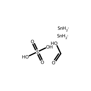 O=CO.O=S(=O)(O)O.[SnH2].[SnH2]